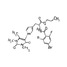 CCCOC(=O)C(Cc1ccc(-c2c(C)n(C)c(=O)n(C)c2=O)cc1)NC(=O)c1c(F)cc(Br)cc1F